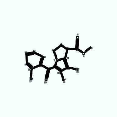 COC(=O)C1CCn2c(C(=O)c3ccccc3Br)c(Br)c(Br)c21